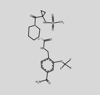 CS(=O)(=O)NC1(C(=O)N2CCC[C@@H](C(=O)NCc3ccc(C(N)=O)cc3OC(F)(F)F)C2)CC1